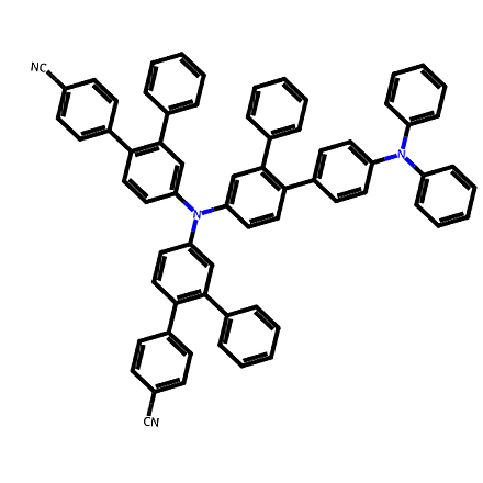 N#Cc1ccc(-c2ccc(N(c3ccc(-c4ccc(C#N)cc4)c(-c4ccccc4)c3)c3ccc(-c4ccc(N(c5ccccc5)c5ccccc5)cc4)c(-c4ccccc4)c3)cc2-c2ccccc2)cc1